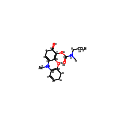 CC(=O)N1C2=CCC(=O)C(OC(=O)N(C)CC(=O)O)=C2OC2=C1C=CCC2